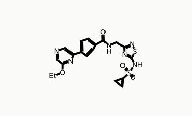 CCOc1cncc(-c2ccc(C(=O)NCc3nsc(NS(=O)(=O)C4CC4)n3)cc2)n1